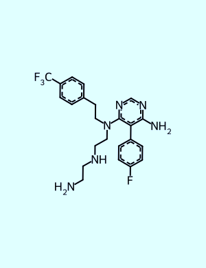 NCCNCCN(CCc1ccc(C(F)(F)F)cc1)c1ncnc(N)c1-c1ccc(F)cc1